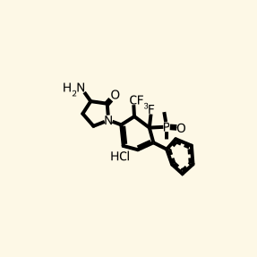 CP(C)(=O)C1(F)C(c2ccccc2)=CC=C(N2CCC(N)C2=O)C1C(F)(F)F.Cl